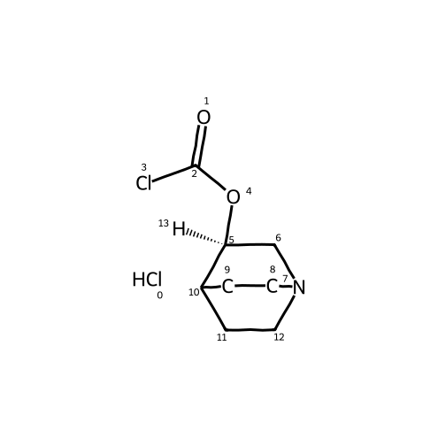 Cl.O=C(Cl)O[C@H]1CN2CCC1CC2